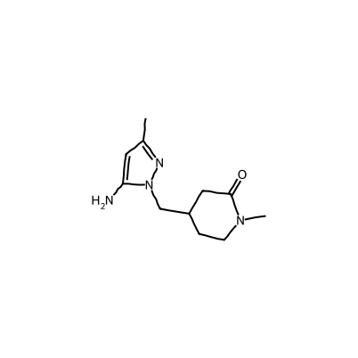 Cc1cc(N)n(CC2CCN(C)C(=O)C2)n1